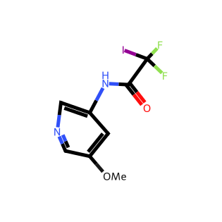 COc1cncc(NC(=O)C(F)(F)I)c1